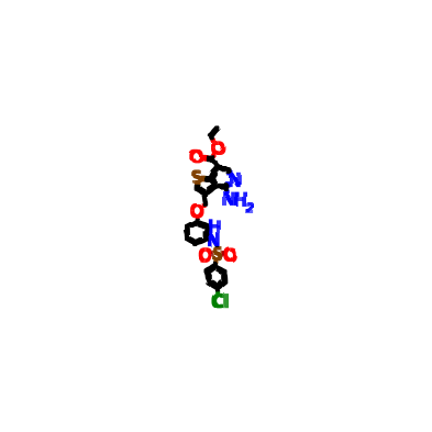 CCOC(=O)c1cnc(N)c2c(COc3cccc(NS(=O)(=O)c4ccc(Cl)cc4)c3)csc12